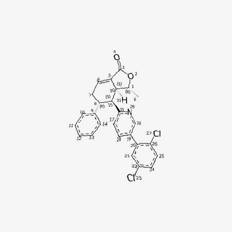 C[C@H]1OC(=O)C2=CC[C@@H](c3ccccc3)[C@H](c3ccc(-c4cc(Cl)ccc4Cl)cn3)[C@@H]21